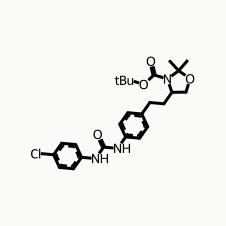 CC(C)(C)OC(=O)N1C(CCc2ccc(NC(=O)Nc3ccc(Cl)cc3)cc2)COC1(C)C